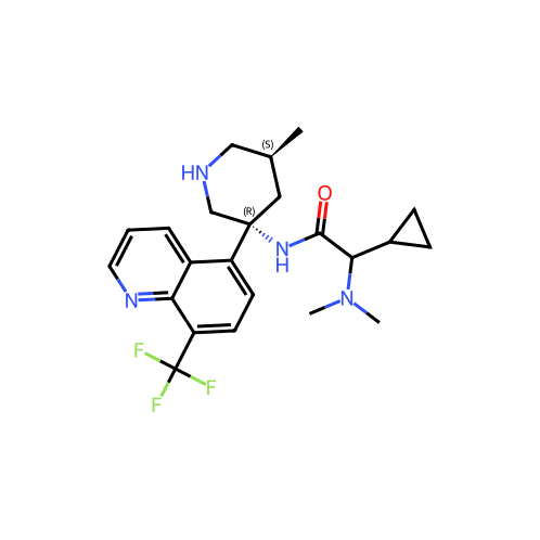 C[C@@H]1CNC[C@](NC(=O)C(C2CC2)N(C)C)(c2ccc(C(F)(F)F)c3ncccc23)C1